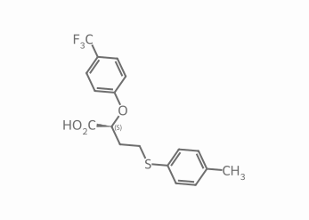 Cc1ccc(SCC[C@H](Oc2ccc(C(F)(F)F)cc2)C(=O)O)cc1